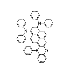 c1ccc(B2c3ccccc3Oc3cc4ccc5c(N(c6ccccc6)c6ccccc6)cc(N(c6ccccc6)c6ccccc6)c6ccc(c32)c4c56)cc1